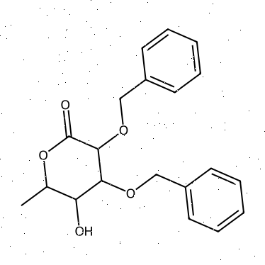 CC1OC(=O)C(OCc2ccccc2)C(OCc2ccccc2)C1O